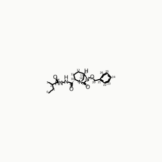 CCC(C)C(=O)NNC(=O)[C@@H]1CC[C@@H]2CN1C(=O)N2OCc1ccccc1